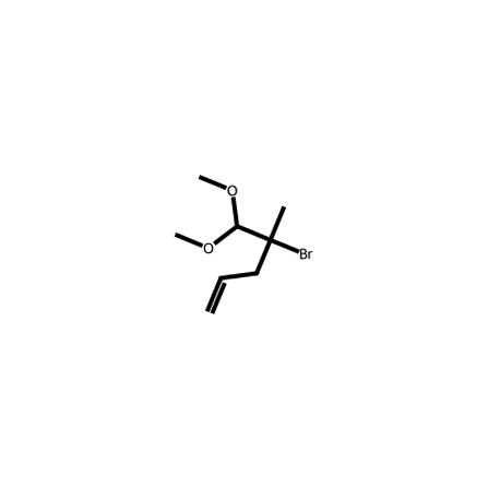 C=CCC(C)(Br)C(OC)OC